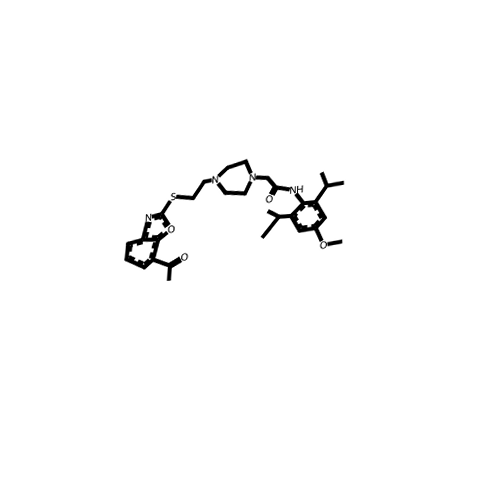 COc1cc(C(C)C)c(NC(=O)CN2CCN(CCSc3nc4cccc(C(C)=O)c4o3)CC2)c(C(C)C)c1